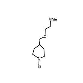 CCN1CCC(COCCNC)CC1